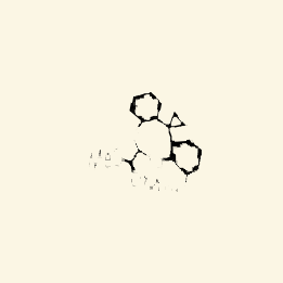 COC(=O)C1Oc2ccccc2C2(CC2)c2cccc(OC)c2O1